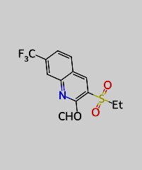 CCS(=O)(=O)c1cc2ccc(C(F)(F)F)cc2nc1C=O